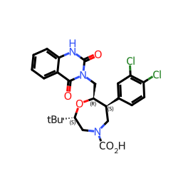 CC(C)(C)[C@H]1CN(C(=O)O)C[C@H](c2ccc(Cl)c(Cl)c2)[C@H](Cn2c(=O)[nH]c3ccccc3c2=O)O1